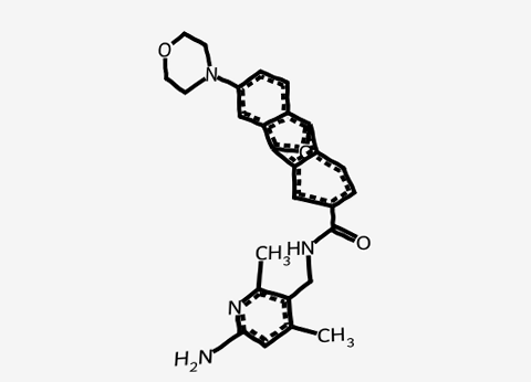 Cc1cc(N)nc(C)c1CNC(=O)c1ccc2c(c1)c1oc2c2ccc(N3CCOCC3)cc21